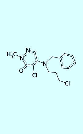 Cn1ncc(N(CCCCl)Cc2ccccc2)c(Cl)c1=O